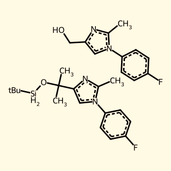 Cc1nc(C(C)(C)O[SiH2]C(C)(C)C)cn1-c1ccc(F)cc1.Cc1nc(CO)cn1-c1ccc(F)cc1